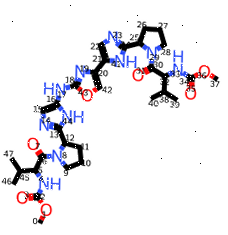 COC(=O)NC(C(=O)N1CCCC1c1ncc(Nc2nc(-c3cnc(C4CCCN4C(=O)C(NC(=O)OC)C(C)C)[nH]3)co2)[nH]1)C(C)C